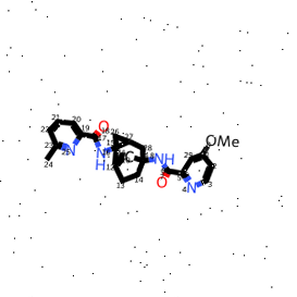 COc1ccnc(C(=O)NC23CC=C(CC2)C2(NC(=O)c4cccc(C)n4)CC2C3)c1